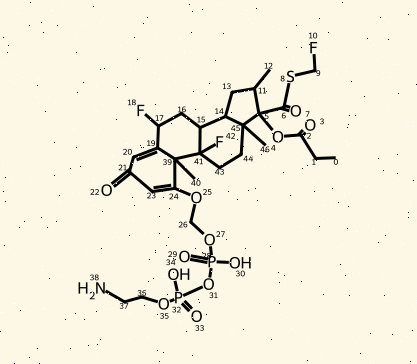 CCC(=O)OC1(C(=O)SCF)C(C)CC2C3CC(F)C4=CC(=O)C=C(OCOP(=O)(O)OP(=O)(O)OCCN)C4(C)C3(F)CCC21C